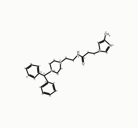 Cc1cn(CCC(=O)NCCN2CCN(C(c3ccccc3)c3ccccc3)CC2)cn1